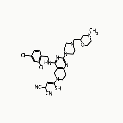 CN1CCOC(CN2CCN(c3nc4c(c(NCc5ccc(Cl)cc5Cl)n3)CN(C(S)=CC(C#N)C#N)CC4)CC2)C1